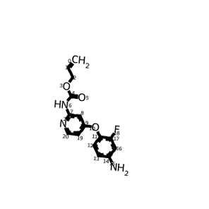 C=CCOC(=O)Nc1cc(Oc2ccc(N)cc2F)ccn1